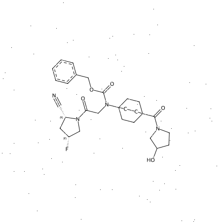 N#C[C@H]1C[C@@H](F)CN1C(=O)CN(C(=O)OCc1ccccc1)C12CCC(C(=O)N3CCC(O)C3)(CC1)CC2